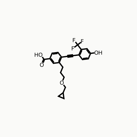 O=C(O)c1ccc(C#Cc2ccc(O)cc2C(F)(F)F)c(CCCOCC2CC2)c1